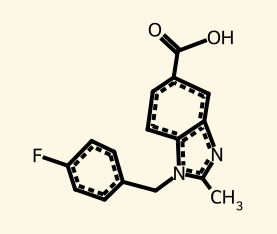 Cc1nc2cc(C(=O)O)ccc2n1Cc1ccc(F)cc1